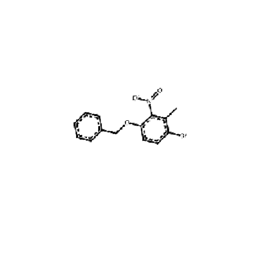 Cc1c(Br)ccc(OCc2ccccc2)c1[N+](=O)[O-]